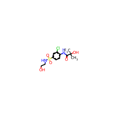 C[C@@](O)(C(=O)Nc1ccc(S(=O)(=O)NCCO)cc1Cl)C(F)(F)F